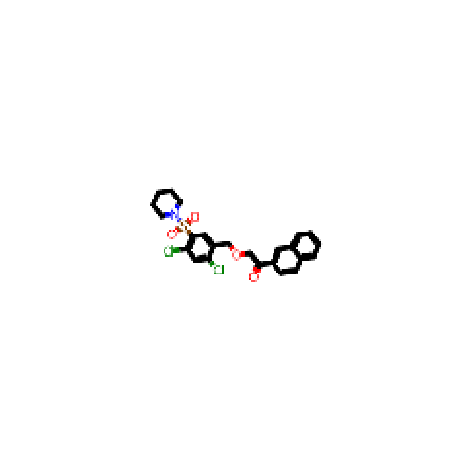 O=C(COCc1cc(S(=O)(=O)N2CCCCC2)c(Cl)cc1Cl)c1ccc2ccccc2c1